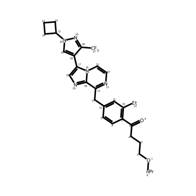 CCCOCCCC(=O)c1ccc(Cc2nccn3c(-c4cn(C5CCC5)nc4C(F)(F)F)cnc23)cc1CC